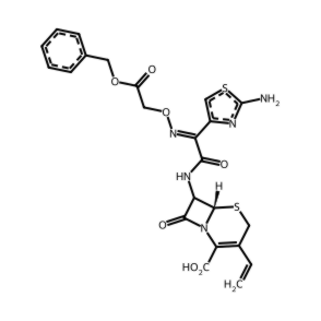 C=CC1=C(C(=O)O)N2C(=O)C(NC(=O)C(=NOCC(=O)OCc3ccccc3)c3csc(N)n3)[C@@H]2SC1